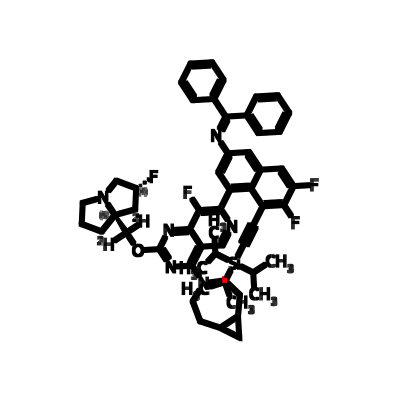 [2H]C([2H])(Oc1nc(N2CCC3CC3CC2)c2cnc(-c3cc(N=C(c4ccccc4)c4ccccc4)cc4cc(F)c(F)c(C#C[Si](C(C)C)(C(C)C)C(C)C)c34)c(F)c2n1)[C@@]12CCCN1C[C@H](F)C2